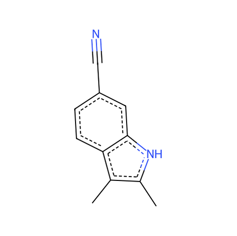 Cc1[nH]c2cc(C#N)ccc2c1C